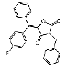 O=C1OC(=C(c2ccccc2)c2ccc(F)cc2)C(=O)N1Cc1ccccc1